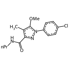 CCCNC(=O)c1nn(-c2ccc(Cl)cc2)c(OC)c1C